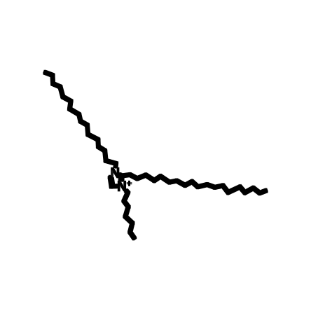 CCCCCCCCCCCCCCCCCCCc1n(CCCCCCCCCCCCCCCC)cc[n+]1CCCCCCC